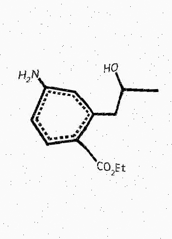 CCOC(=O)c1ccc(N)cc1CC(C)O